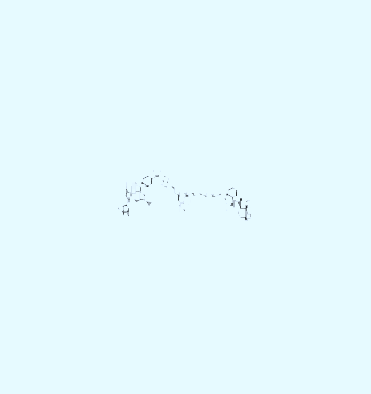 NC(=O)C=C(CCN1CCN(C(=O)c2ccc(Nc3nc(C4CC4)cn4c(-c5cn[nH]c5)cnc34)c(F)c2)CC1)OCCOCCOCCNc1cccc2c1C(=O)N(C1CCC(=O)NC1=O)C2=O